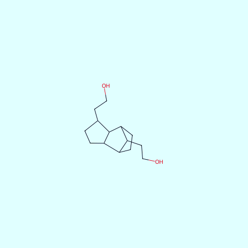 OCCC1CCC2C3CCC(C3CCO)C12